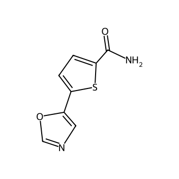 NC(=O)c1ccc(-c2cnco2)s1